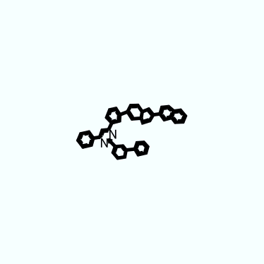 C1=CC2C=C(c3ccc4ccccc4c3)C=CC2C=C1c1cccc(-c2cc(-c3ccccc3)nc(C3=CCCC(c4ccccc4)=C3)n2)c1